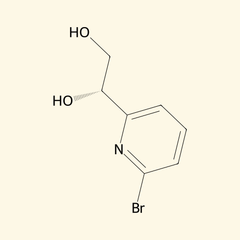 OC[C@@H](O)c1cccc(Br)n1